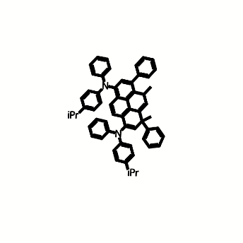 CC(C)c1ccc(N(C2=CC(C)(c3ccccc3)C3=CC(C)c4c(-c5ccccc5)cc(N(c5ccccc5)c5ccc(C(C)C)cc5)c5ccc2c3c45)c2ccccc2)cc1